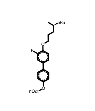 CCCCCCCCOc1ccc(-c2ccc(OCCC[C@@H](C)CCCC)c(F)c2)cc1